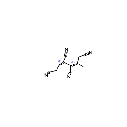 C/C(CC#N)=C(C#N)/C(C#N)=C\CC#N